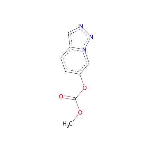 COC(=O)Oc1ccc2cnnn2c1